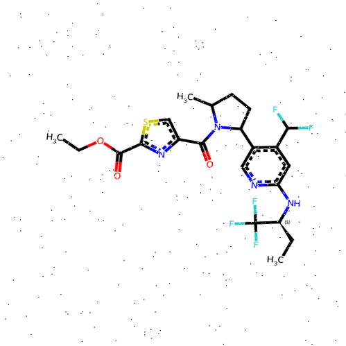 CCOC(=O)c1nc(C(=O)N2C(C)CCC2c2cnc(N[C@@H](CC)C(F)(F)F)cc2C(F)F)cs1